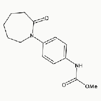 COC(=O)Nc1ccc(N2CCCCCC2=O)cc1